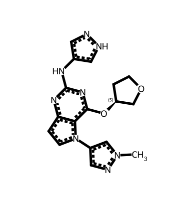 Cn1cc(-n2ccc3nc(Nc4cn[nH]c4)nc(O[C@H]4CCOC4)c32)cn1